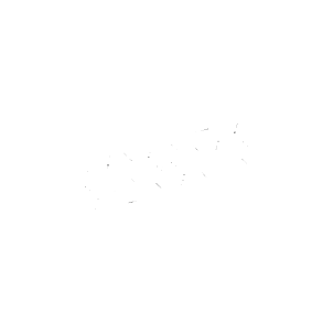 CN1C(=O)c2ccc3c4c(ccc(c24)C1=O)C(=O)N(N1C(=O)c2ccc4c5c(ccc(c25)C1=O)C(=O)N(C)C4=O)C3=O